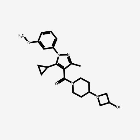 Cc1nn(-c2cccc(OC(F)(F)F)c2)c(C2CC2)c1C(=O)N1CCC(N2CC(O)C2)CC1